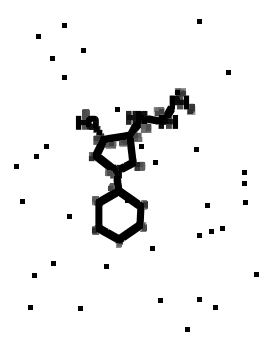 O[C@H]1CN(C2CCCCC2)C[C@@H]1NPP